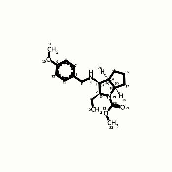 CC[C@H]1[C@@H](NCc2ccc(OC)cc2)[C@H]2CCC[C@H]2N1C(=O)OC